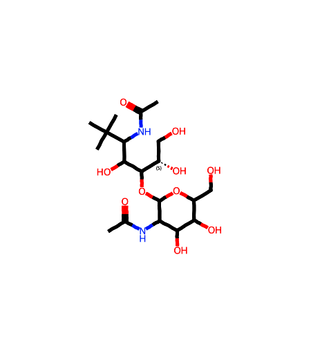 CC(=O)NC1C(OC(C(O)C(NC(C)=O)C(C)(C)C)[C@@H](O)CO)OC(CO)C(O)C1O